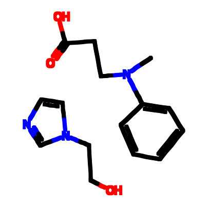 CN(CCC(=O)O)c1ccccc1.OCCn1ccnc1